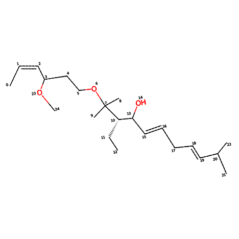 C/C=C\C(CCOC(C)(C)[C@@H](CC)C(O)C=CC/C=C/C(C)C)OC